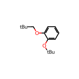 CC(C)(C)COc1ccccc1OC(C)(C)C